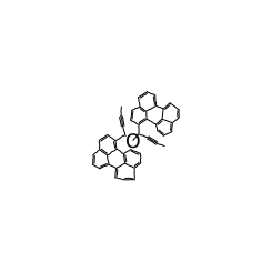 CC#CC(OC(C#CC)c1ccc2cccc3c4cccc5cccc(c1c23)c54)c1ccc2cccc3c4cccc5cccc(c1c23)c54